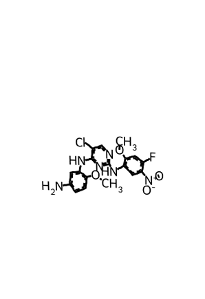 COc1cc(F)c([N+](=O)[O-])cc1Nc1ncc(Cl)c(Nc2cc(N)ccc2OC)n1